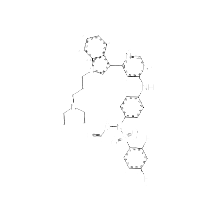 CCN(CC)CCCn1cc(-c2cc(Nc3ccc(N(OC=O)S(=O)(=O)c4ccc(F)cc4F)cc3)ncn2)c2ccccc21